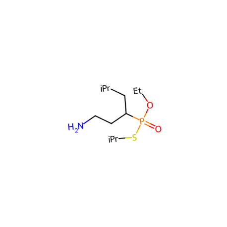 CCOP(=O)(SC(C)C)C(CCN)CC(C)C